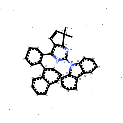 CC1(C)C=Cc2c(-c3ccccc3-c3cccc4ccccc34)nc(-n3c4ccccc4c4ccccc43)nc21